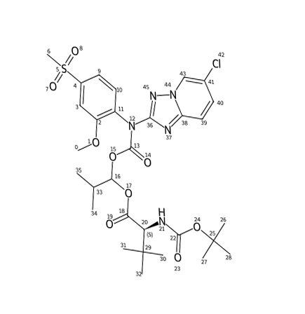 COc1cc(S(C)(=O)=O)ccc1N(C(=O)OC(OC(=O)[C@@H](NC(=O)OC(C)(C)C)C(C)(C)C)C(C)C)c1nc2ccc(Cl)cn2n1